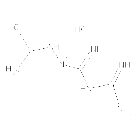 CC(C)NNC(=N)NC(=N)N.Cl